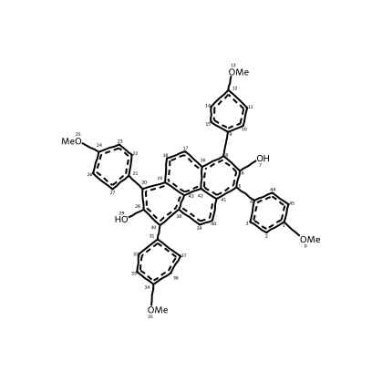 COc1ccc(-c2c(O)c(-c3ccc(OC)cc3)c3ccc4c(-c5ccc(OC)cc5)c(O)c(-c5ccc(OC)cc5)c5ccc2c3c54)cc1